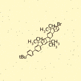 CC(C)(C)c1ccc(-c2ccc3c(c2)C(C)(C)c2cc4c(cc2-3)C(C)(C)c2cc3c(cc2-4)C(C)(C)c2cc(Br)ccc2-3)cc1